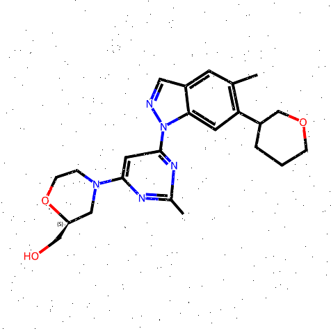 Cc1nc(N2CCO[C@H](CO)C2)cc(-n2ncc3cc(C)c(C4CCCOC4)cc32)n1